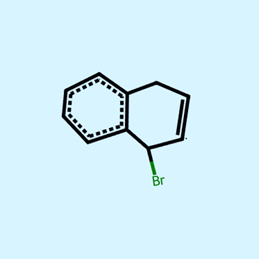 BrC1[C]=CCc2ccccc21